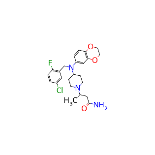 CC(CC(N)=O)N1CCC(N(Cc2cc(Cl)ccc2F)c2ccc3c(c2)OCCO3)CC1